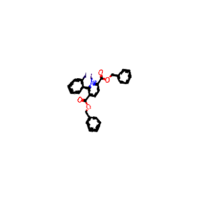 O=C(OCc1ccccc1)c1ccc(C(=O)OCc2ccccc2)[n+](I)c1-c1ccccc1I